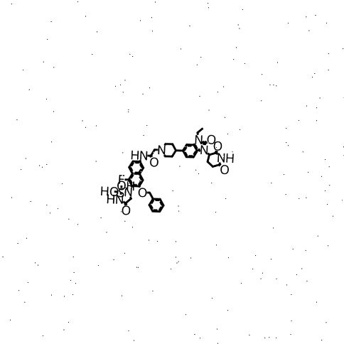 CCn1c(=O)n(C2CCC(=O)NC2=O)c2ccc(C3CCN(CC(=O)Nc4ccc5c(F)c(N6CC(=O)NS6(O)O)c(OCc6ccccc6)cc5c4)CC3)cc21